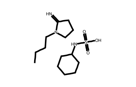 CCCCN1CCCC1=N.O=S(=O)(O)NC1CCCCC1